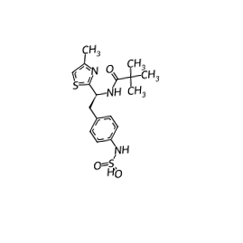 Cc1csc([C@H](Cc2ccc(N[SH](=O)=O)cc2)NC(=O)C(C)(C)C)n1